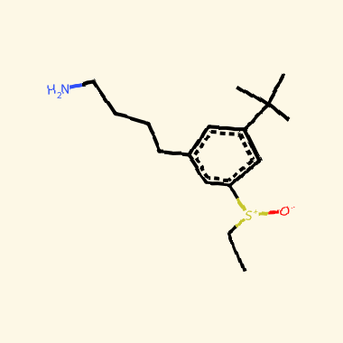 CC[S+]([O-])c1cc(CCCCN)cc(C(C)(C)C)c1